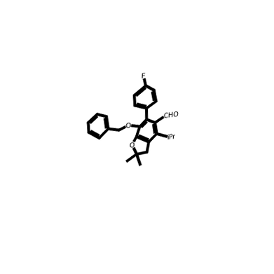 CC(C)c1c(C=O)c(-c2ccc(F)cc2)c(OCc2ccccc2)c2c1CC(C)(C)O2